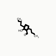 CCCCc1ccc(CCCC)c(C=O)c1O